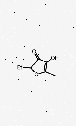 CCC1OC(C)=C(O)C1=O